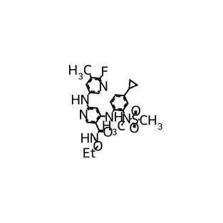 CCONC(=O)c1cnc(Nc2cnc(F)c(C)c2)cc1Nc1ccc(C2CC2)cc1N(C)S(C)(=O)=O